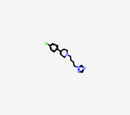 Clc1ccc(C2=CCN(CCCCn3cncn3)CC2)cc1